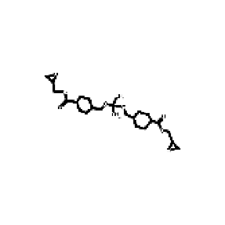 CC(C)(OCC1CCC(C(=O)OCC2CO2)CC1)OCC1CCC(C(=O)OCC2CO2)CC1